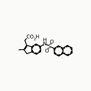 CC1=C(CC(=O)O)c2cc(NS(=O)(=O)c3ccc4ccccc4c3)ccc2C1